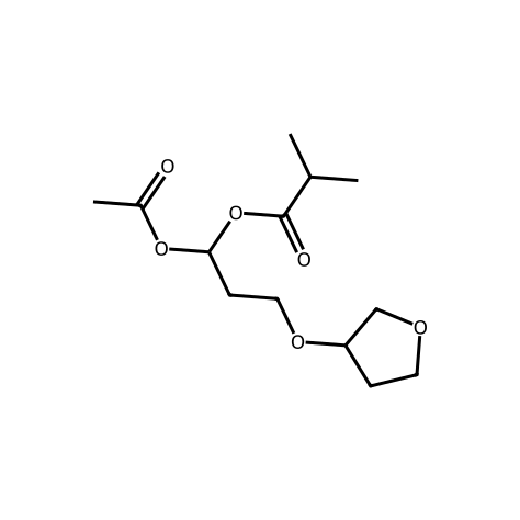 CC(=O)OC(CCOC1CCOC1)OC(=O)C(C)C